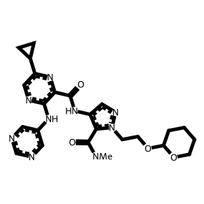 CNC(=O)c1c(NC(=O)c2nc(C3CC3)cnc2Nc2cncnc2)cnn1CCOC1CCCCO1